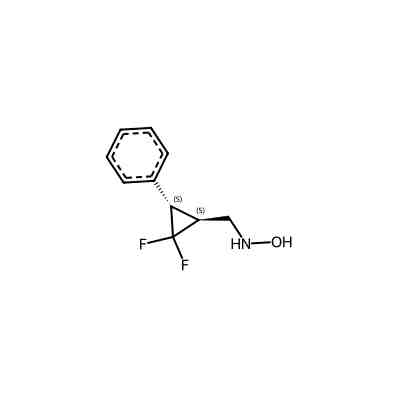 ONC[C@@H]1[C@@H](c2ccccc2)C1(F)F